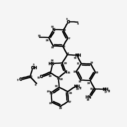 CC(=O)O.COc1cc(C(Nc2ccc(C(=N)N)cc2)c2nn(-c3ncccc3N)c(=O)[nH]2)cc(C)n1